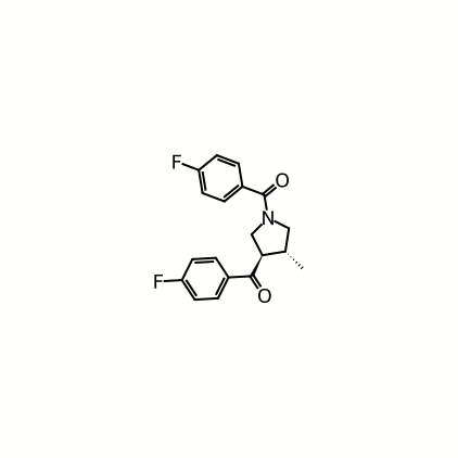 C[C@H]1CN(C(=O)c2ccc(F)cc2)C[C@@H]1C(=O)c1ccc(F)cc1